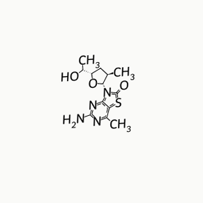 Cc1nc(N)nc2c1sc(=O)n2[C@@H]1O[C@H](C(C)O)C[C@H]1C